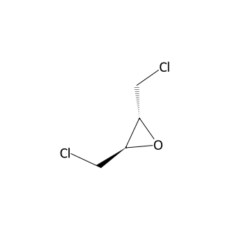 ClC[C@@H]1O[C@H]1CCl